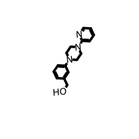 OCc1cccc(N2CCN(c3ccccn3)CC2)c1